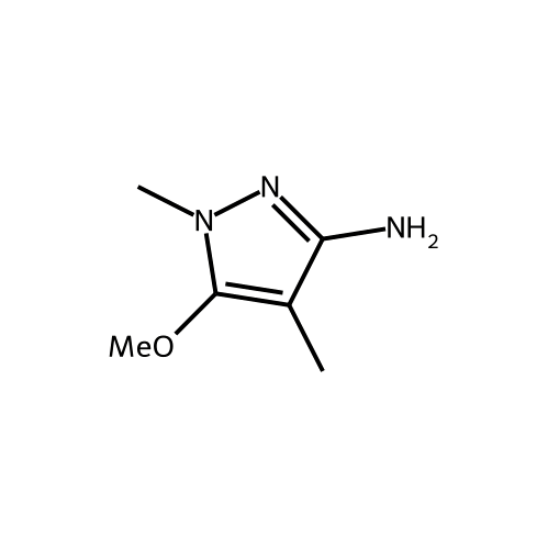 COc1c(C)c(N)nn1C